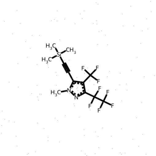 Cn1nc(C(F)(F)C(F)(F)F)c(C(F)(F)F)c1C#C[Si](C)(C)C